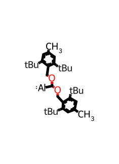 Cc1cc(C(C)(C)C)c(CO[CH]([Al])OCc2c(C(C)(C)C)cc(C)cc2C(C)(C)C)c(C(C)(C)C)c1